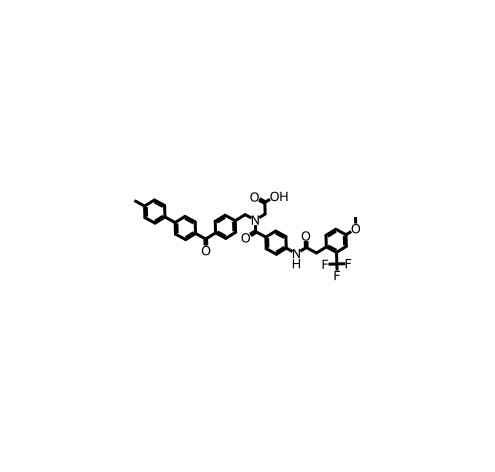 COc1ccc(CC(=O)Nc2ccc(C(=O)N(CC(=O)O)Cc3ccc(C(=O)c4ccc(-c5ccc(C)cc5)cc4)cc3)cc2)c(C(F)(F)F)c1